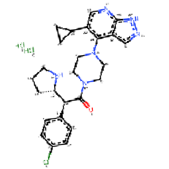 Cl.Cl.O=C([C@@H](c1ccc(Cl)cc1)[C@@H]1CCCN1)N1CCN(c2c(C3CC3)cnc3[nH]ncc23)CC1